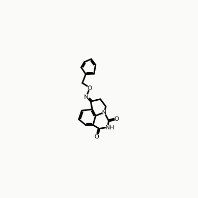 O=c1[nH]c(=O)n2c3c(cccc13)/C(=N/OCc1ccccc1)CC2